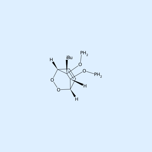 CCC(C)[C@@]1(OP)[C@H](OP)[C@@H]2C=C[C@H]1OO2